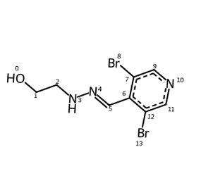 OCCN/N=C/c1c(Br)cncc1Br